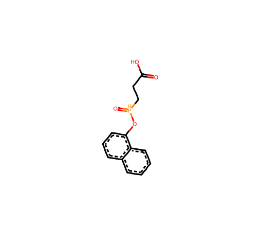 O=C(O)CC[PH](=O)Oc1cccc2ccccc12